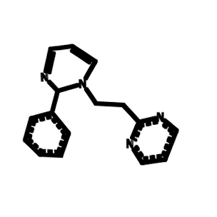 C1=CN(CCc2ncccn2)C(c2ccccc2)N=C1